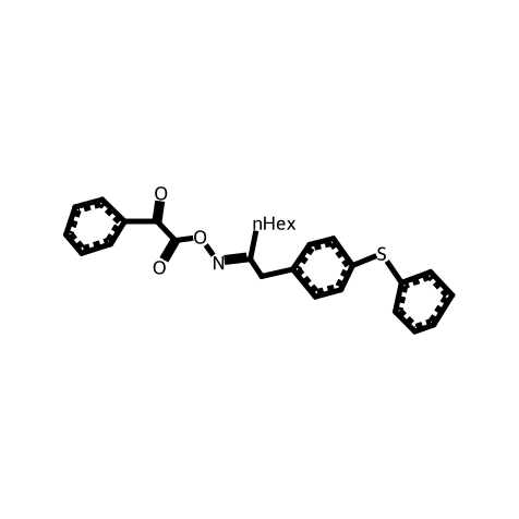 CCCCCC/C(Cc1ccc(Sc2ccccc2)cc1)=N\OC(=O)C(=O)c1ccccc1